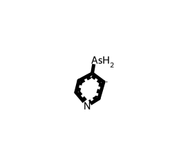 [AsH2]c1[c]cncc1